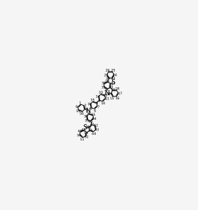 c1ccc(N(c2ccc(-c3ccc(-n4c5ccccc5c5c6sc7ccccc7c6ccc54)cc3)cc2)c2ccc(-c3cccc4c3sc3ccccc34)cc2)cc1